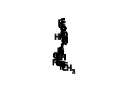 CC(F)(F)Oc1ccc(F)c(CNC(=O)c2cn(CCCCn3cc(NC(=O)Cc4cccc(OC(F)(F)F)c4)nn3)nn2)c1